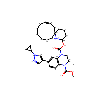 COC(=O)N1c2ccc(-c3cnn(C4CC4)c3)cc2N(C(=O)OC2CCCC3(C/C=C\CCCCCC3)N2)C[C@@H]1C